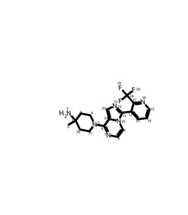 CC1(N)CCN(c2nccn3c(-c4cccnc4C(F)(F)F)ncc23)CC1